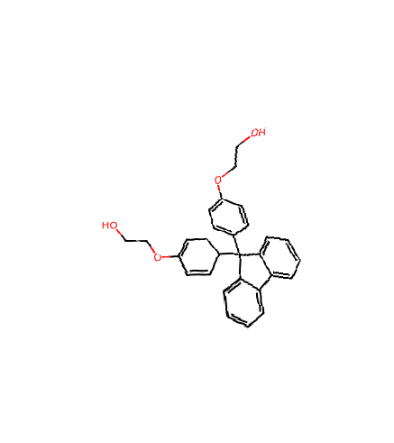 OCCOC1=CCC(C2(c3ccc(OCCO)cc3)c3ccccc3-c3ccccc32)C=C1